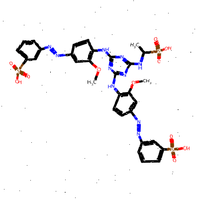 COc1cc(N=Nc2cccc(S(=O)(=O)O)c2)ccc1Nc1nc(Nc2ccc(N=Nc3cccc(S(=O)(=O)O)c3)cc2OC)nc(NC(C)S(=O)(=O)O)n1